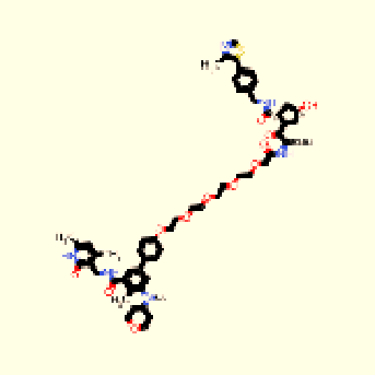 CCN(c1cc(-c2ccc(OCCOCCOCCOCCOCC(=O)NC(C(=O)C3C[C@H](O)C[C@H]3C(=O)NCc3ccc(-c4scnc4C)cc3)C(C)(C)C)cc2)cc(C(=O)NCc2c(C)cc(C)[nH]c2=O)c1C)C1CCOCC1